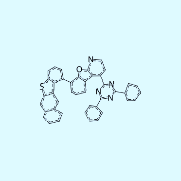 c1ccc(-c2nc(-c3ccccc3)nc(-c3ccnc4oc5c(-c6cccc7sc8cc9ccccc9cc8c67)cccc5c34)n2)cc1